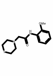 COc1ccccc1NC(=O)CN1CCSCC1